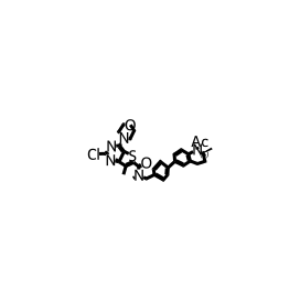 CC(=O)N1c2ccc(-c3ccc(CN(C)C(=O)c4sc5c(N6CCOCC6)nc(Cl)nc5c4C)cc3)cc2CC[C@@H]1C